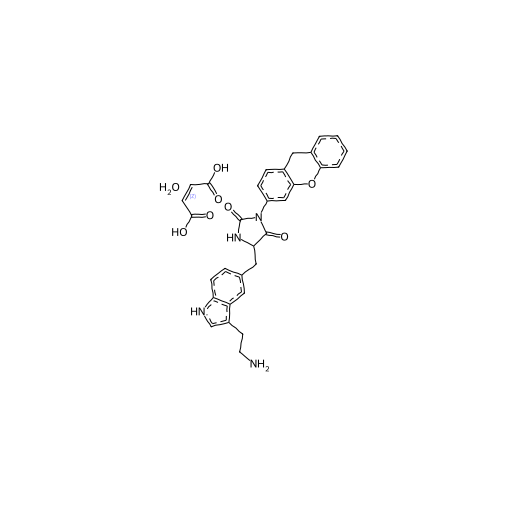 NCCc1c[nH]c2ccc(CC3NC(=O)N(c4ccc5c(c4)Oc4ccccc4C5)C3=O)cc12.O.O=C(O)/C=C\C(=O)O